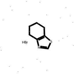 Br.c1nc2c(s1)CCCC2